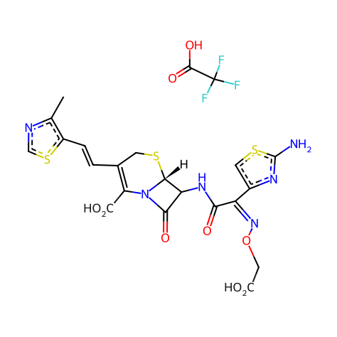 Cc1ncsc1/C=C/C1=C(C(=O)O)N2C(=O)C(NC(=O)/C(=N\OCC(=O)O)c3csc(N)n3)[C@H]2SC1.O=C(O)C(F)(F)F